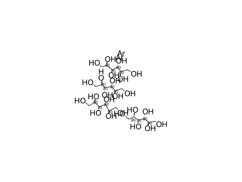 OC[C@@H](O)[C@@H](O)[C@H](O)[C@H](O)CO.OC[C@@H](O)[C@@H](O)[C@H](O)[C@H](O)CO.OC[C@@H](O)[C@@H](O)[C@H](O)[C@H](O)CO.OC[C@@H](O)[C@@H](O)[C@H](O)[C@H](O)CO.[Ar].[Ar]